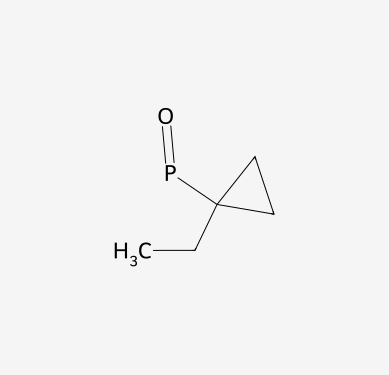 CCC1(P=O)CC1